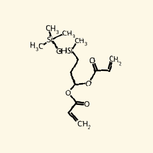 C=CC(=O)OC(CC[SiH](C)O[Si](C)(C)C)OC(=O)C=C